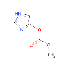 COC(=O)Oc1c[nH]cn1